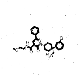 COCCNC(=O)c1cc(-c2ccccc2)nn([C@H]2CC[C@](CN)(c3cccc(Cl)c3)CC2)c1=O